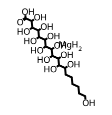 O=C(O)C(O)C(O)C(O)C(O)C(O)C(O)C(O)C(O)C(O)C(O)C(O)CCCCCCO.[MgH2]